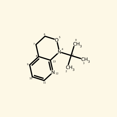 CC(C)(C)N1OCCc2cccnc21